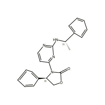 C[C@H](Nc1nccc(N2C(=O)OC[C@H]2c2ccccc2)n1)c1ccccc1